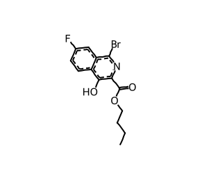 CCCCOC(=O)c1nc(Br)c2cc(F)ccc2c1O